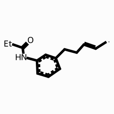 [CH2]C=CCCc1cccc(NC(=O)CC)c1